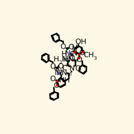 Cc1cc(O)cc(C)c1C[C@H](N/C(=N/C(=O)OCc1ccccc1)NC(=O)OCc1ccccc1)C(=O)N(C[C@H](Cc1ccccc1)N/C(=N\C(=O)OCc1ccccc1)NC(=O)OCc1ccccc1)[C@H](C)C(N)=O